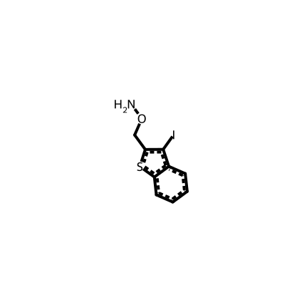 NOCc1sc2ccccc2c1I